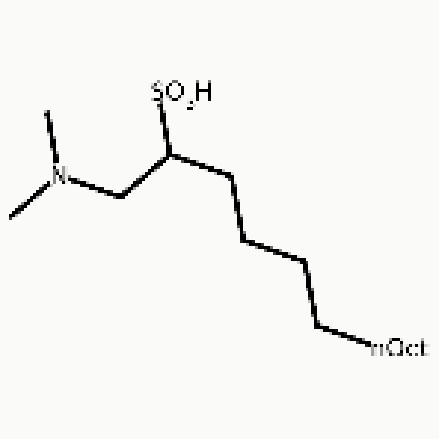 CCCCCCCCCCCCC(CN(C)C)S(=O)(=O)O